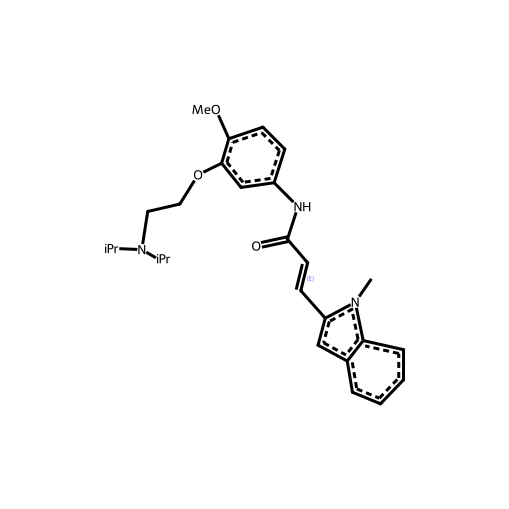 COc1ccc(NC(=O)/C=C/c2cc3ccccc3n2C)cc1OCCN(C(C)C)C(C)C